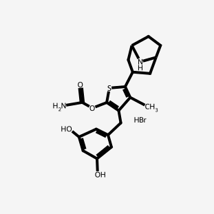 Br.Cc1c(C2CC3CCC(C2)N3)sc(OC(N)=O)c1Cc1cc(O)cc(O)c1